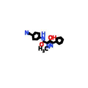 Cn1nc(-c2ccccc2)c(O)c1C(=O)Nc1ccc(C#N)cc1